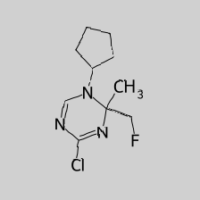 CC1(CF)N=C(Cl)N=CN1C1CCCC1